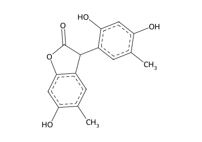 Cc1cc(C2C(=O)Oc3cc(O)c(C)cc32)c(O)cc1O